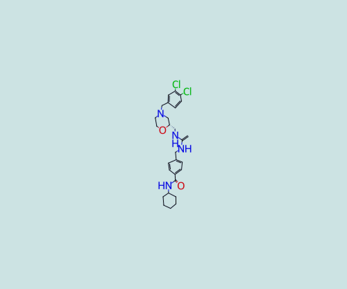 C=C(NCc1ccc(C(=O)NC2CCCCC2)cc1)NC[C@H]1CN(Cc2ccc(Cl)c(Cl)c2)CCO1